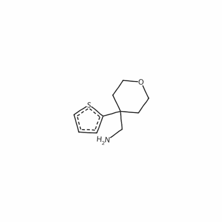 NCC1(c2cccs2)CCOCC1